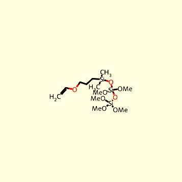 C=COCCC[Si](C)(C)O[Si](OC)(OC)O[Si](OC)(OC)OC